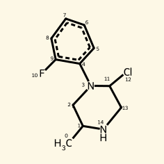 CC1[CH]N(c2ccccc2F)C(Cl)CN1